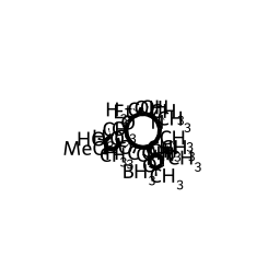 B.CC[C@H]1OC(=O)[C@H](C)[C@@H](O[C@H]2C[C@@](C)(OC)[C@@H](O)[C@H](C)O2)[C@H](C)[C@@H](O[C@@H]2O[C@H](C)C[C@H](N(C)C)[C@H]2O)[C@](C)(O)C[C@@H](C)CN(C)[C@H](C)[C@@H](O)[C@]1(C)O